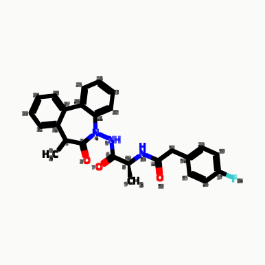 CC1C(=O)N(NC(=O)[C@H](C)NC(=O)Cc2ccc(F)cc2)c2ccccc2-c2ccccc21